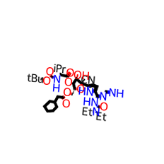 CCN(CC)C(=O)N/C(=N/C=N)c1ccc([C@]2(C#N)O[C@H](COC(=O)CC3CCCCC3)[C@@H](OC(=O)[C@@H](NC(=O)OC(C)(C)C)C(C)C)[C@H]2O)[nH]1